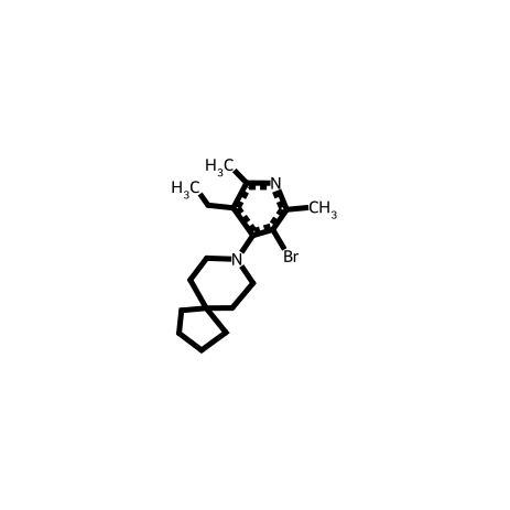 CCc1c(C)nc(C)c(Br)c1N1CCC2(CCCC2)CC1